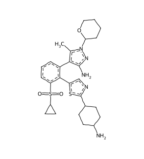 Cc1c(-c2cccc(S(=O)(=O)C3CC3)c2-c2cnc(C3CCC(N)CC3)s2)c(N)nn1C1CCCCO1